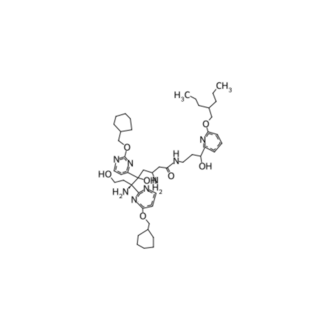 CCCC(CCC)COc1cccc(C(O)CCNC(=O)CC(N)CC(O)(c2ccnc(OCC3CCCCC3)n2)[C@@](N)(CCO)c2nccc(OCC3CCCCC3)n2)n1